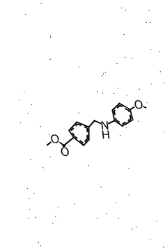 COC(=O)c1ccc(CNc2ccc(OC)cc2)cc1